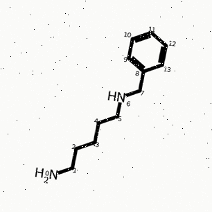 NCC[CH]CCNCc1ccccc1